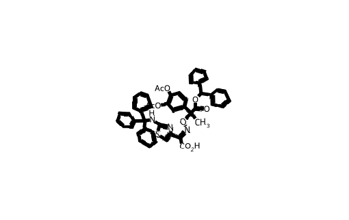 CC(=O)Oc1ccc(C(C)(ON=C(C(=O)O)c2csc(NC(c3ccccc3)(c3ccccc3)c3ccccc3)n2)C(=O)OC(c2ccccc2)c2ccccc2)cc1OC(C)=O